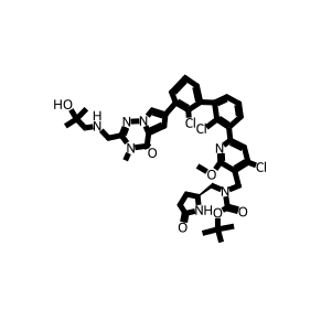 COc1nc(-c2cccc(-c3cccc(-c4cc5c(=O)n(C)c(CNCC(C)(C)O)nn5c4)c3Cl)c2Cl)cc(Cl)c1CN(C[C@@H]1CCC(=O)N1)C(=O)OC(C)(C)C